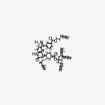 [N-]=[N+]=NCCOC(=O)c1cccc(N(N)c2ccc3c(n2)N(C2CCN(C(=O)OC(CN=[N+]=[N-])(CN=[N+]=[N-])CN=[N+]=[N-])CC2)[C@H](CN=[N+]=[N-])C(=O)N3)c1